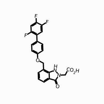 O=C(O)Cn1[nH]c2c(COc3ccc(-c4cc(F)c(F)cc4F)cc3)cccc2c1=O